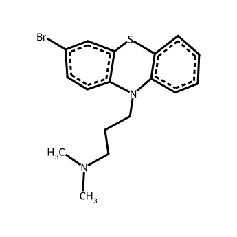 CN(C)CCCN1c2ccccc2Sc2cc(Br)ccc21